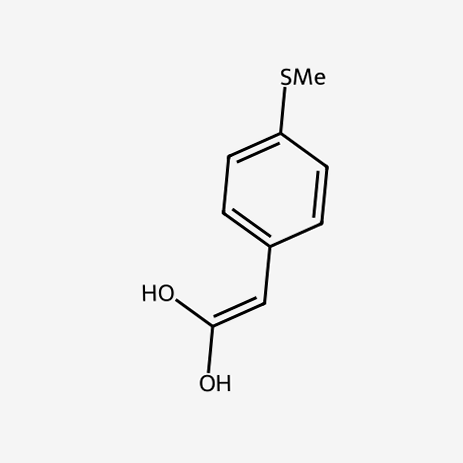 CSc1ccc(C=C(O)O)cc1